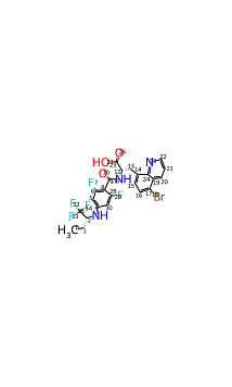 CC[C@@H](Nc1cc(F)c(C(=O)N[C@@H](Cc2ccc(Br)c3cccnc23)C(=O)O)c(F)c1)C(F)(F)F